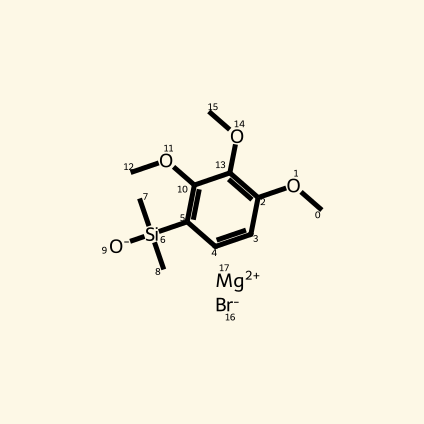 COc1ccc([Si](C)(C)[O-])c(OC)c1OC.[Br-].[Mg+2]